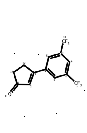 O=C1C=C(c2cc(C(F)(F)F)cc(C(F)(F)F)c2)CC1